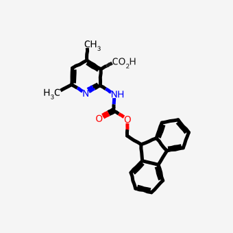 Cc1cc(C)c(C(=O)O)c(NC(=O)OCC2c3ccccc3-c3ccccc32)n1